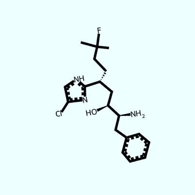 CC(C)(F)CC[C@H](C[C@H](O)[C@@H](N)Cc1ccccc1)c1nc(Cl)c[nH]1